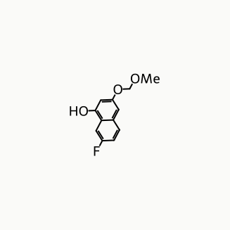 COCOc1cc(O)c2cc(F)ccc2c1